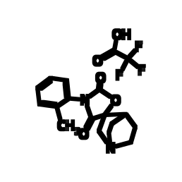 Cc1ccccc1N1C(=O)OC2(CN3CCC2CC3)C1=O.O=C(O)C(F)(F)F